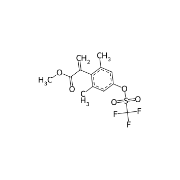 C=C(C(=O)OC)c1c(C)cc(OS(=O)(=O)C(F)(F)F)cc1C